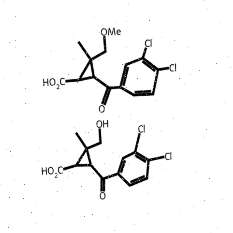 CC1(CO)C(C(=O)O)C1C(=O)c1ccc(Cl)c(Cl)c1.COCC1(C)C(C(=O)O)C1C(=O)c1ccc(Cl)c(Cl)c1